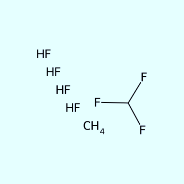 C.F.F.F.F.FC(F)F